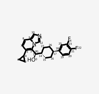 O[C@@H](c1c(C2CC2)ccc2cncn12)[C@H]1CC[C@H](c2ccc(F)c(F)c2)CC1